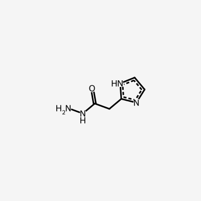 NNC(=O)Cc1ncc[nH]1